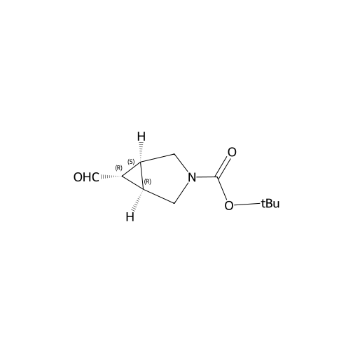 CC(C)(C)OC(=O)N1C[C@@H]2[C@@H](C=O)[C@@H]2C1